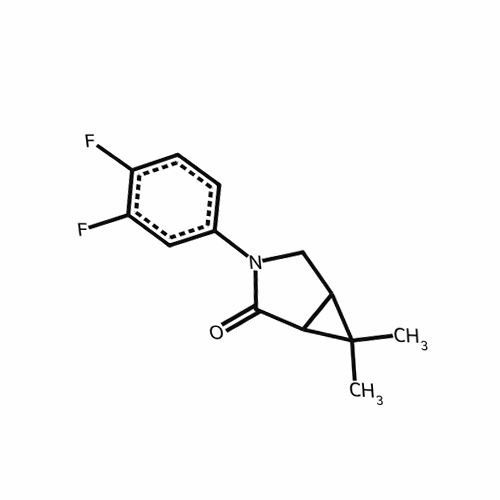 CC1(C)C2CN(c3ccc(F)c(F)c3)C(=O)C21